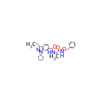 CCc1nn(C2CCCC2)c2cc(C(=O)NC(C)C(=O)NOCc3ccccc3)ccc12